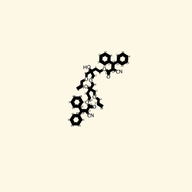 C=CCOCC(O)(CCOC(=O)C(C#N)=C(c1ccccc1)c1ccccc1)COCC(O)(CCOC(=O)C(C#N)=C(c1ccccc1)c1ccccc1)COCC=C